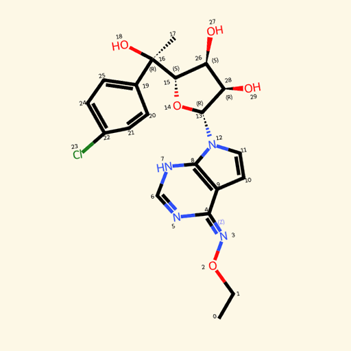 CCO/N=c1\nc[nH]c2c1ccn2[C@@H]1O[C@H]([C@](C)(O)c2ccc(Cl)cc2)[C@@H](O)[C@H]1O